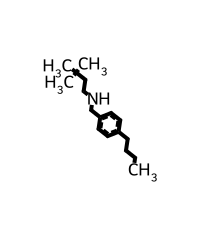 CCCCc1ccc(CNCCC(C)(C)C)cc1